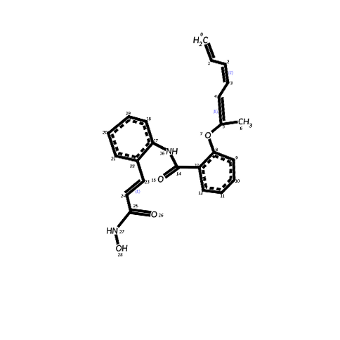 C=C/C=C\C=C(/C)Oc1ccccc1C(=O)Nc1ccccc1/C=C/C(=O)NO